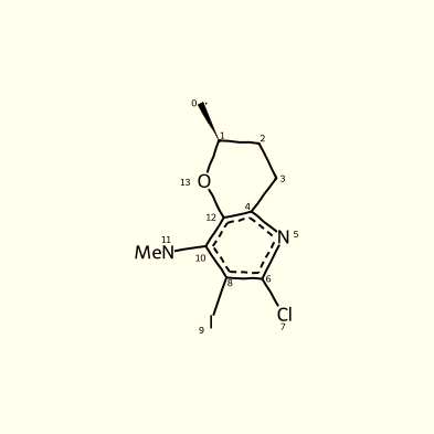 [CH2][C@H]1CCc2nc(Cl)c(I)c(NC)c2O1